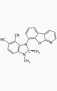 C[C@H]1N(C)c2ccc(C#N)c(C#N)c2N1c1cccc2c1oc1ncccc12